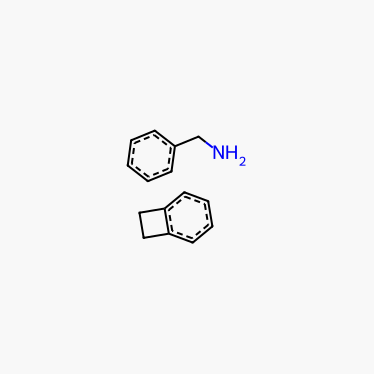 NCc1ccccc1.c1ccc2c(c1)CC2